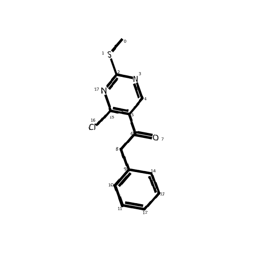 CSc1ncc(C(=O)Cc2ccccc2)c(Cl)n1